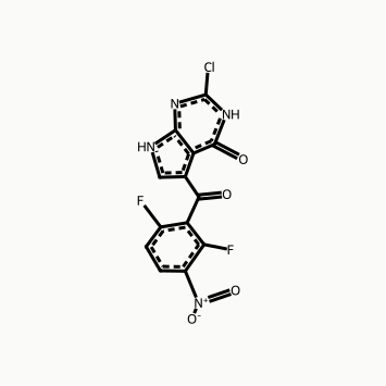 O=C(c1c(F)ccc([N+](=O)[O-])c1F)c1c[nH]c2nc(Cl)[nH]c(=O)c12